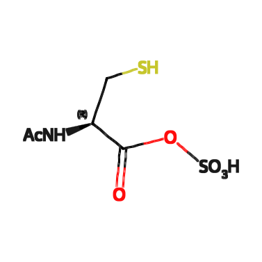 CC(=O)N[C@@H](CS)C(=O)OS(=O)(=O)O